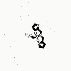 C=CS(=O)(=O)N(Cc1cccs1)Cc1cccs1